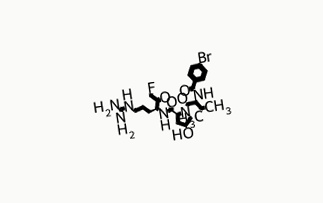 CC(C)[C@H](NC(=O)c1ccc(Br)cc1)C(=O)N1C[C@H](O)C[C@H]1C(=O)N[C@@H](CCCNC(N)N)C(=O)CF